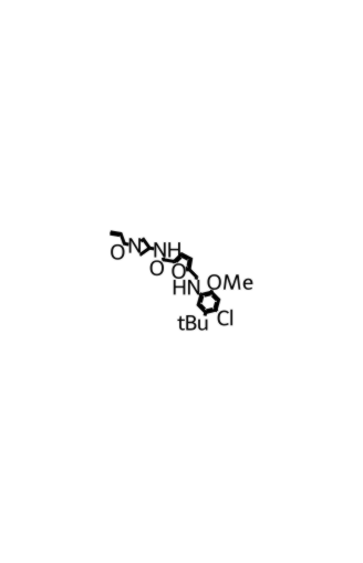 C=CC(=O)N1CC(NC(=O)c2ccc(CNc3cc(C(C)(C)C)c(Cl)cc3OC)o2)C1